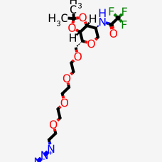 CC1(C)O[C@@H]2[C@H](O1)[C@H](NC(=O)C(F)(F)F)CO[C@@H]2COCCOCCOCCOCCN=[N+]=[N-]